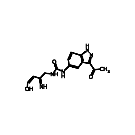 CC(=O)c1n[nH]c2ccc(NC(=O)NCC(=N)/C=C\O)cc12